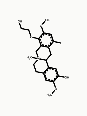 COc1cc2c(cc1O)C1Cc3c(Cl)cc(OC)c(OCCO)c3C[N+]1(C)CC2